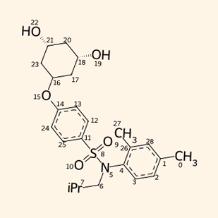 Cc1ccc(N(CC(C)C)S(=O)(=O)c2ccc(OC3C[C@@H](O)C[C@@H](O)C3)cc2)c(C)c1